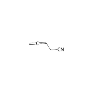 C=C=CCC#N